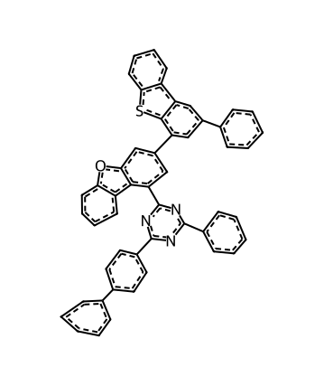 c1ccc(-c2ccc(-c3nc(-c4ccccc4)nc(-c4cc(-c5cc(-c6ccccc6)cc6c5sc5ccccc56)cc5oc6ccccc6c45)n3)cc2)cc1